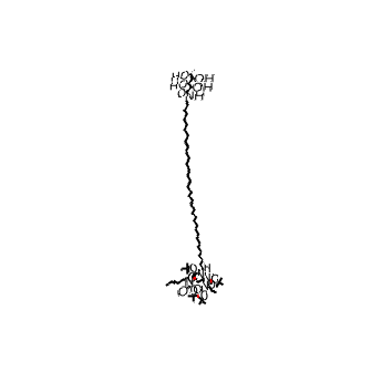 CCCCN(CCC(NC(=O)OC(C)(C)C)(N(CCC)C(=O)OC(C)(C)C)N(CCCCCCCCCCCCCCCCCCCCCCCCCCCCCCCCCCCCNC(=O)[C@H](O)[C@@H](O)[C@H](O)[C@@H](C)O)C(=O)OC(C)(C)C)C(=O)OC(C)(C)C